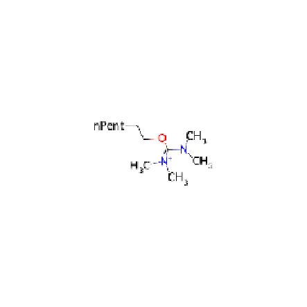 CCCCCCCOC(N(C)C)=[N+](C)C